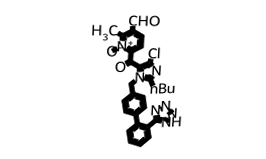 CCCCc1nc(Cl)c(C(=O)c2ccc(C=O)c(C)[n+]2[O-])n1Cc1ccc(-c2ccccc2-c2nnn[nH]2)cc1